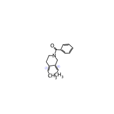 C/C=C1/CCN(C(=O)c2ccccc2)C/C1=C/C